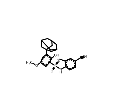 COc1cc(C23CC4CC(CC(C4)C2)C3)c(O)c(S(=O)(=O)Nc2ccc(C#N)cc2Cl)c1